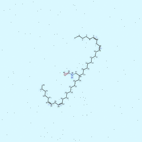 CCCCC/C=C\C/C=C\CCCCCCCCC(CCCCCCCC/C=C\C/C=C\CCCCC)CNC=O